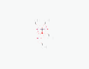 CCOC(C(=O)OP(=O)(O)OCC)(P(=O)(O)OCC)P(=O)(O)OCC